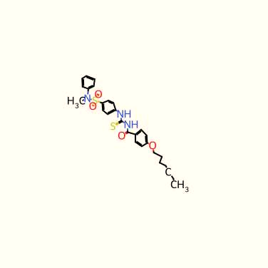 CCCCCCCOc1ccc(C(=O)NC(=S)Nc2ccc(S(=O)(=O)N(C)c3ccccc3)cc2)cc1